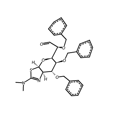 CN(C)C1=N[C@@H]2[C@@H](OCc3ccccc3)[C@H](OCc3ccccc3)[C@H]([C@@H](C=O)OCc3ccccc3)O[C@@H]2S1